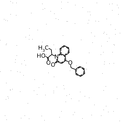 CCC(C(=O)O)n1c(=O)cc(OCc2ccccc2)c2ccccc21